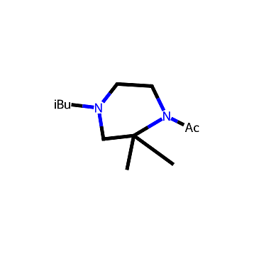 CCC(C)N1CCN(C(C)=O)C(C)(C)C1